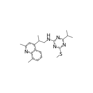 CSc1nc(NCC(C)c2cc(C)nc3c(C)cccc23)nc(C(C)C)n1